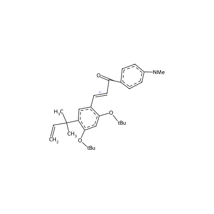 C=CC(C)(C)c1cc(/C=C/C(=O)c2ccc(NC)cc2)c(OC(C)(C)C)cc1OC(C)(C)C